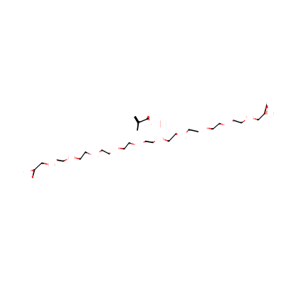 C(COCCOCCOCCOCCOCC1CO1)OCCOCCOCCOCCOCC1CO1.C=C(C)C(=O)O